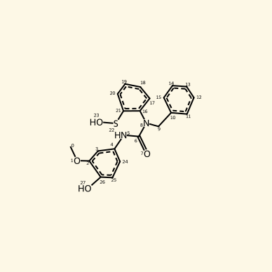 COc1cc(NC(=O)N(Cc2ccccc2)c2ccccc2SO)ccc1O